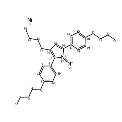 CCCCCc1ccc(C2=C(CCCC)C=C(c3ccc(CCCC)cc3)[N+]2=[N-])cc1.[Ni]